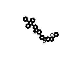 CC1(C)c2cc(-c3ccc4oc5cc6ccc7c8ccccc8oc7c6cc5c4c3)ccc2-c2ccc(-c3c4ccccc4c(-c4ccccc4)c4ccccc34)cc21